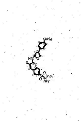 CCCN(CCC)S(=O)(=O)c1ccc(C=C(C)C(=O)Nc2nc(-c3ccc(OC)cc3)cs2)cc1